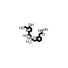 CCCNC(=O)Cc1cccc(CC(C)(C)NCC(O)c2ccc(O)c(CO)n2)c1